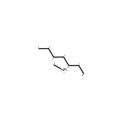 CCCC.CCCCCCC